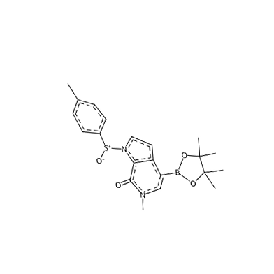 Cc1ccc([S+]([O-])n2ccc3c(B4OC(C)(C)C(C)(C)O4)cn(C)c(=O)c32)cc1